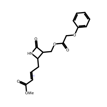 COC(=O)/C=C/CC1NC(=O)C1COC(=O)COc1ccccc1